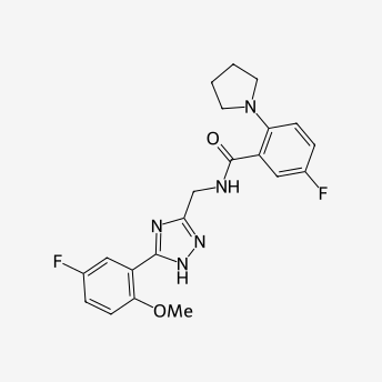 COc1ccc(F)cc1-c1nc(CNC(=O)c2cc(F)ccc2N2CCCC2)n[nH]1